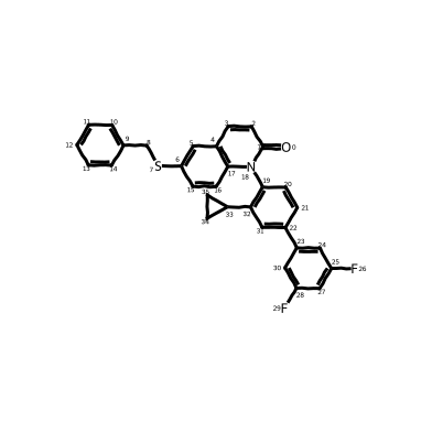 O=c1ccc2cc(SCc3ccccc3)ccc2n1-c1ccc(-c2cc(F)cc(F)c2)cc1C1CC1